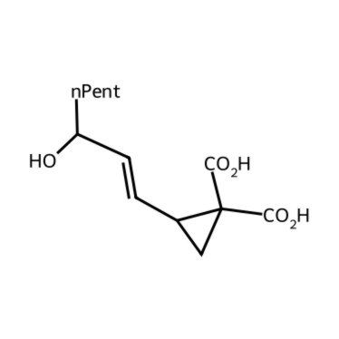 CCCCCC(O)C=CC1CC1(C(=O)O)C(=O)O